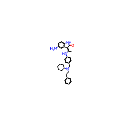 CC(Nc1ccc(CN(CCc2ccccc2)C2CCCCC2)cc1)=C1C(=O)Nc2ccc(N)cc21